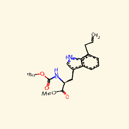 C=CCc1cccc2c(C[C@H](NC(=O)OC(C)(C)C)C(=O)OC)c[nH]c12